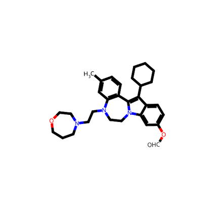 Cc1ccc2c(c1)N(CCN1CCCOCC1)CCn1c-2c(C2CCCCC2)c2ccc(OC=O)cc21